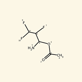 CC(=O)OC(N)C(F)C(F)F